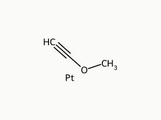 C#COC.[Pt]